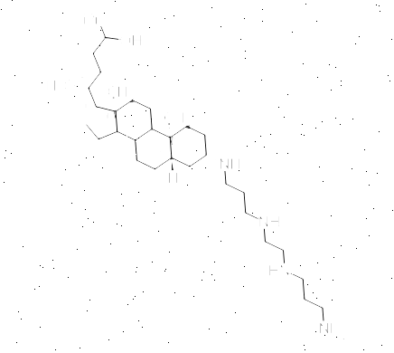 CC(C)C(O)CC[C@@H](C)[C@H]1CCC2C3CC[C@H]4C[C@@H](NCCCNCCNCCCN)CC[C@]4(C)C3CC[C@@]21C